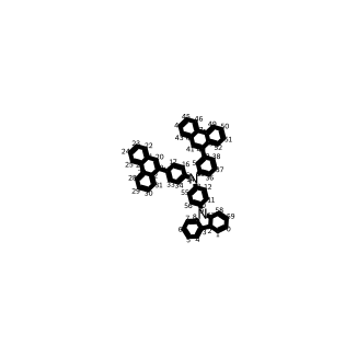 C1=CC2c3ccccc3N(c3ccc(N(c4ccc(-c5cc6ccccc6c6ccccc56)cc4)c4cccc(-c5cc6ccccc6c6ccccc56)c4)cc3)C2C=C1